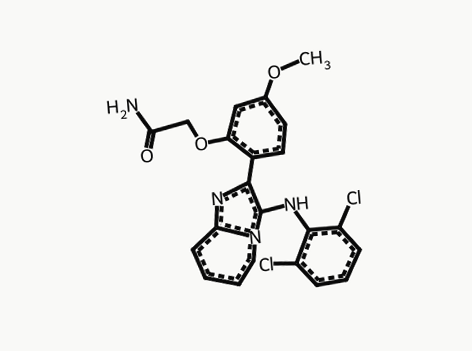 COc1ccc(-c2nc3ccccn3c2Nc2c(Cl)cccc2Cl)c(OCC(N)=O)c1